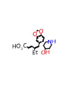 CCC(C=CC(=O)O)=Cc1ccc2c(c1)OCO2.OC1CCNCC1